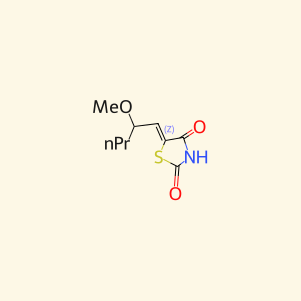 CCCC(/C=C1\SC(=O)NC1=O)OC